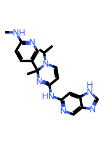 CNc1ccc(C2(C)N=C(Nc3cc4[nH]cnc4cn3)C=CN2C(C)C)cn1